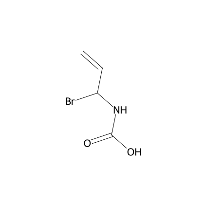 C=CC(Br)NC(=O)O